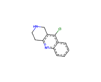 Clc1c2c(nc3ccccc13)CCNC2